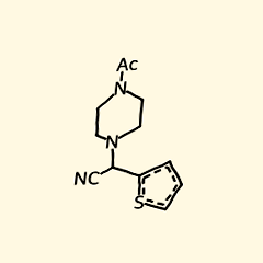 CC(=O)N1CCN(C(C#N)c2cccs2)CC1